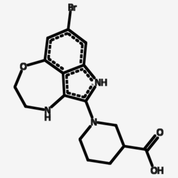 O=C(O)C1CCCN(c2[nH]c3cc(Br)cc4c3c2NCCO4)C1